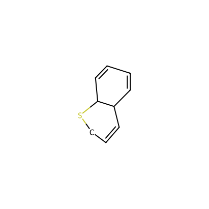 C1=CC2C=CCSC2C=C1